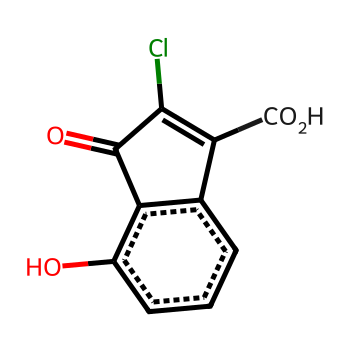 O=C(O)C1=C(Cl)C(=O)c2c(O)cccc21